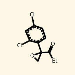 CCC(=O)C1(c2ccc(Cl)cc2Cl)CO1